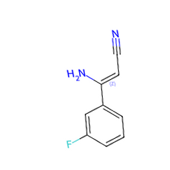 N#C/C=C(\N)c1cccc(F)c1